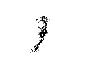 CC(C)CCCC(C)C/C=C/C1(C)CCc2cc(OCCCCCCS(=O)(=O)O)ccc2O1